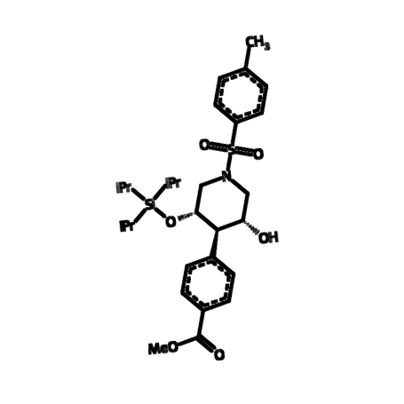 COC(=O)c1ccc([C@@H]2[C@@H](O)CN(S(=O)(=O)c3ccc(C)cc3)C[C@H]2O[Si](C(C)C)(C(C)C)C(C)C)cc1